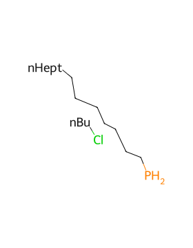 CCCCCCCCCCCCCCP.CCCCCl